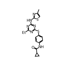 CCc1nc(Nc2nc(C)cs2)nc(Sc2ccc(NC(=O)C3CC3)cc2)n1